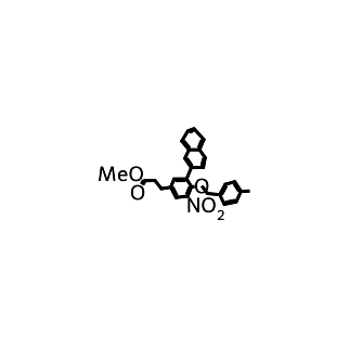 COC(=O)CCc1cc(-c2ccc3ccccc3c2)c(OCc2ccc(C)cc2)c([N+](=O)[O-])c1